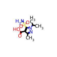 Cc1nn(C(C)C)c(S(N)(=O)=O)c1C(=O)O